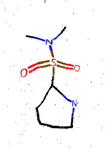 CN(C)S(=O)(=O)C1CCC[N]1